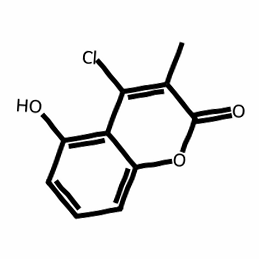 Cc1c(Cl)c2c(O)cccc2oc1=O